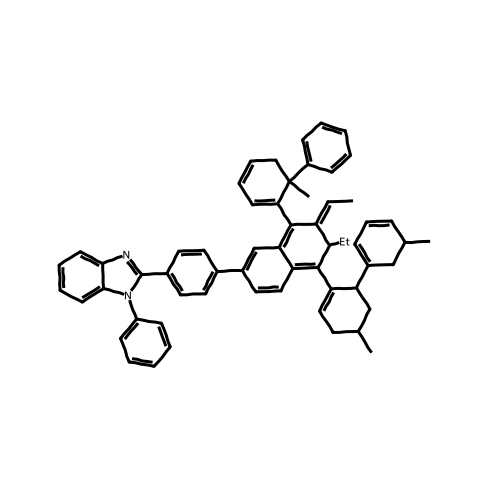 C/C=C1/C(C2=CC=CCC2(C)c2ccccc2)=c2cc(-c3ccc(-c4nc5ccccc5n4-c4ccccc4)cc3)ccc2=C(C2=CCC(C)CC2C2=CC=CC(C)C2)C1CC